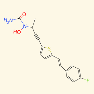 CC(C#Cc1ccc(/C=C/c2ccc(F)cc2)s1)N(O)C(N)=O